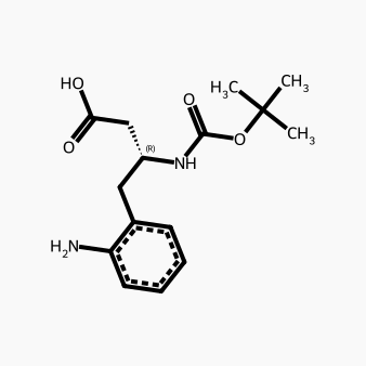 CC(C)(C)OC(=O)N[C@@H](CC(=O)O)Cc1ccccc1N